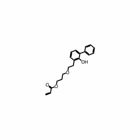 C=CC(=O)OCCCOCCc1cccc(-c2ccccc2)c1O